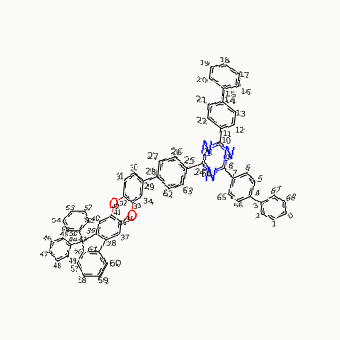 c1ccc(-c2ccc(-c3nc(-c4ccc(-c5ccccc5)cc4)nc(-c4ccc(-c5ccc6c(c5)Oc5cc7c(cc5O6)C(c5ccccc5)(c5ccccc5)c5ccccc5-7)cc4)n3)cc2)cc1